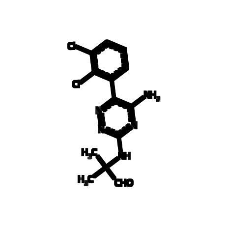 CC(C)(C=O)Nc1nnc(-c2cccc(Cl)c2Cl)c(N)n1